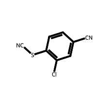 N#CSc1ccc(C#N)cc1Cl